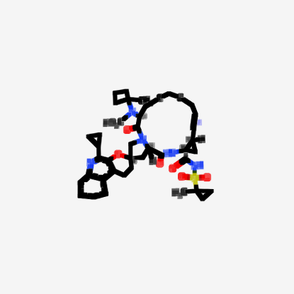 CC1(N(C(=O)O)[C@H]2CCCCC/C=C\[C@@H]3C[C@@]3(C(=O)NS(=O)(=O)C3(C)CC3)NC(=O)[C@@H]3C[C@]4(CCc5c(c(C6CC6)nc6ccccc56)O4)CN3C2=O)CCC1